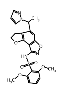 COc1cccc(OC)c1S(=O)(=O)Nc1noc2cc(C(C)n3cccn3)c3c(c12)OCC3